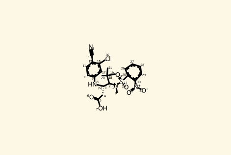 CN(C([C@H](CC(=O)O)Nc1ccc(C#N)c(Cl)c1)C(C)(C)C)S(=O)(=O)c1ccccc1[N+](=O)[O-]